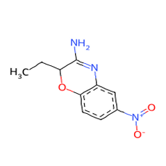 CCC1Oc2ccc([N+](=O)[O-])cc2N=C1N